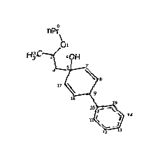 CCCOC(C)CC1(O)C=CC(c2ccccc2)C=C1